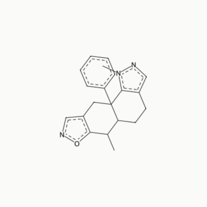 CC1c2oncc2CC2(c3ccccc3)c3c(cnn3C)CCC12